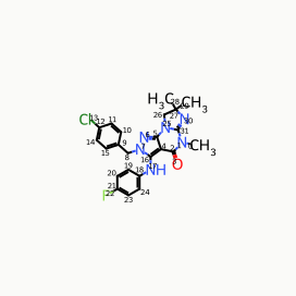 CN1C(=O)c2c(nn(Cc3ccc(Cl)cc3)c2Nc2ccc(F)cc2)N2CC(C)(C)N=C12